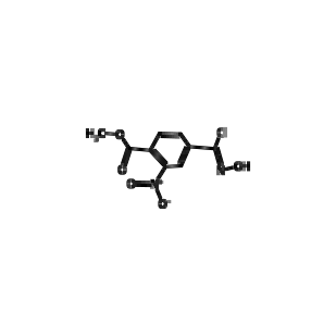 COC(=O)c1ccc(C(Cl)=NO)cc1[N+](=O)[O-]